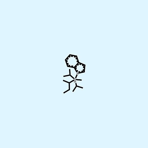 CCC(C)[SH](C)(C(C)C)(C(C)C)n1ccc2ccccc21